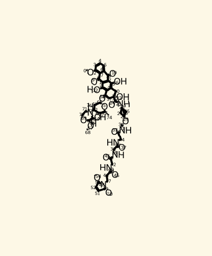 COc1cccc2c1C(=O)c1c(O)c3c(c(O)c1C2=O)C[C@@](O)(C(=O)NC12CC(OCNC(=O)CNC(=O)CNC(=O)CNC(=O)CCN4C(=O)C=CC4=O)(C1)C2)C[C@@H]3O[C@H]1C[C@H]2[C@H](O[C@@H]3[C@@H](OC)OCCN32)[C@H](C)O1